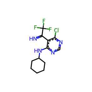 N=C(c1c(Cl)ncnc1NC1CCCCC1)C(F)(F)F